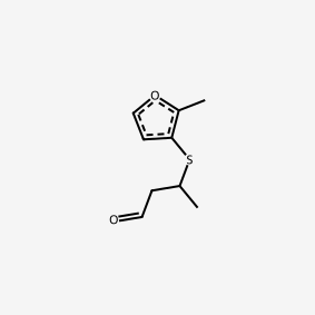 Cc1occc1SC(C)CC=O